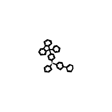 C1=CC(c2ccc(N(c3ccccc3)c3ccc(C4(c5ccccc5)c5ccccc5-c5ccccc54)cc3)cc2)=CCC1